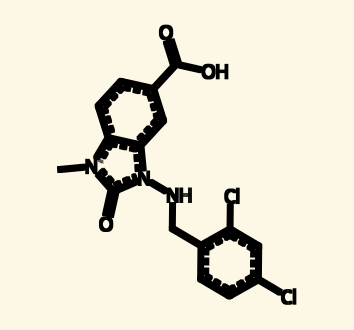 Cn1c(=O)n(NCc2ccc(Cl)cc2Cl)c2cc(C(=O)O)ccc21